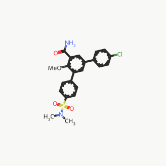 COc1c(C(N)=O)cc(-c2ccc(Cl)cc2)cc1-c1ccc(S(=O)(=O)N(C)C)cc1